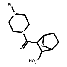 CCN1CCN(C(=O)C2C3CCC(O3)C2C(=O)O)CC1